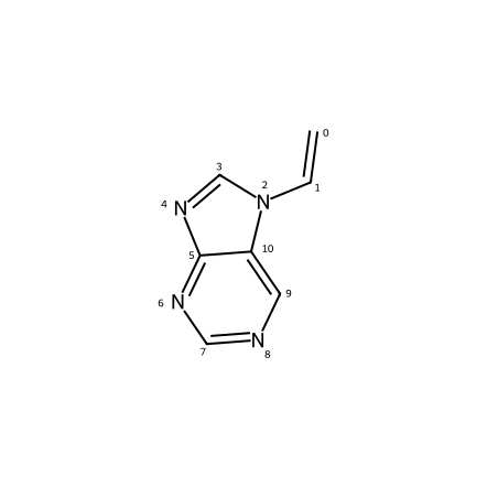 C=Cn1cnc2ncncc21